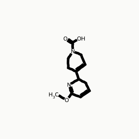 COC1=NC(C2=CCN(C(=O)O)CC2)CC=C1